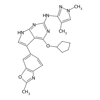 Cc1nc2ccc(-c3c[nH]c4nc(Nc5nn(C)cc5C)nc(OC5CCCC5)c34)cc2o1